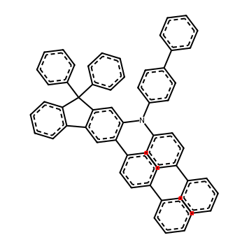 c1ccc(-c2ccc(-c3cc4c(cc3N(c3ccc(-c5ccccc5)cc3)c3ccc(-c5ccccc5)cc3)C(c3ccccc3)(c3ccccc3)c3ccccc3-4)cc2)cc1